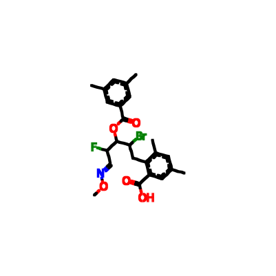 CON=CC(F)C(OC(=O)c1cc(C)cc(C)c1)C(Br)Cc1c(C)cc(C)cc1C(=O)O